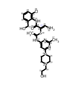 C=C(Nc1cc(N2CCN(CCO)CC2)nc(C)n1)S/C(=C\N)C(=O)Nc1c(Cl)cccc1CO